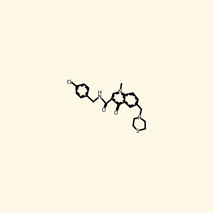 Cn1cc(C(=O)NCc2ccc(Cl)cc2)c(=O)c2cc(CN3CCSCC3)ccc21